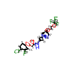 O=C(COc1ccc(Cl)c(F)c1)NC12CC(n3cc(OCCOC(F)(F)F)cn3)(C1)C2